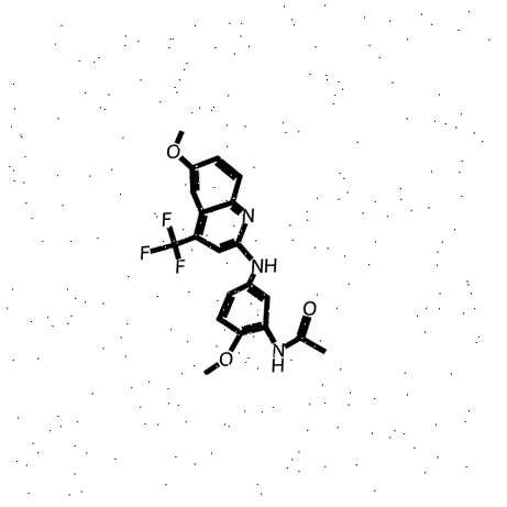 COc1ccc2nc(Nc3ccc(OC)c(NC(C)=O)c3)cc(C(F)(F)F)c2c1